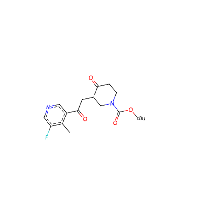 Cc1c(F)cncc1C(=O)CC1CN(C(=O)OC(C)(C)C)CCC1=O